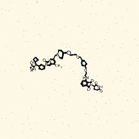 Cn1cnnc1[C@H](c1cccc(-n2cc3c(C(F)(F)F)cc(CN4CCC(OCCOCc5ccc(COCCNc6cccc7c6C(=O)N(C6CCC(=O)NC6=O)C7=O)cc5)CC4)cn3c2=O)c1)C1CCC1